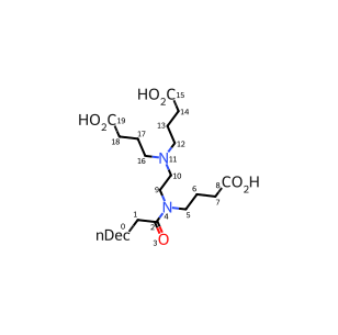 CCCCCCCCCCCC(=O)N(CCCC(=O)O)CCN(CCCC(=O)O)CCCC(=O)O